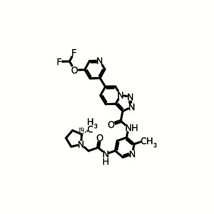 Cc1ncc(NC(=O)CN2CCC[C@@H]2C)cc1NC(=O)c1nnn2cc(-c3cncc(OC(F)F)c3)ccc12